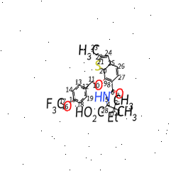 CCC(C)(C)C(NC(=O)C1=C(OCc2ccc(OC(F)(F)F)cc2)C2SC(C)=CC2C=C1)C(=O)O